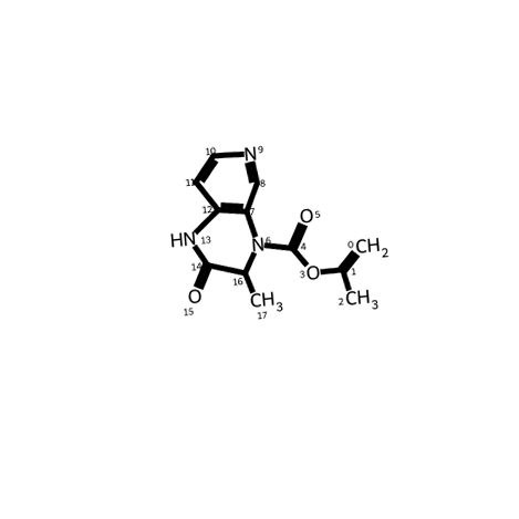 C=C(C)OC(=O)N1c2cnccc2NC(=O)C1C